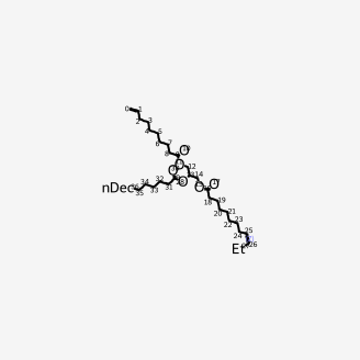 C=CCCCCCCCC(=O)OCC(COC(=O)CCCCCCC/C=C\CC)OC(=O)CCCCCCCCCCCCCCC